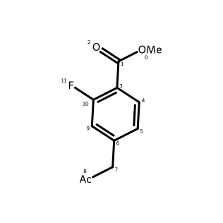 COC(=O)c1ccc(CC(C)=O)cc1F